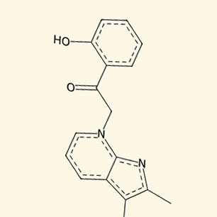 Cc1nc2n(CC(=O)c3ccccc3O)cccc-2c1C